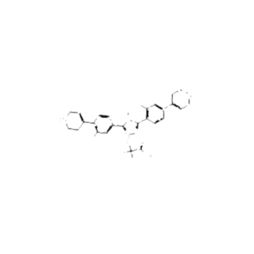 Cn1c(-c2ccc(C3=CCNCC3)c(F)c2)nnc1-c1ccc(C2=CCNCC2)cc1F.O=C(O)C(F)(F)F